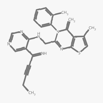 C=C1c2c(C)csc2N=C(CNc2ncncc2C(=N)C#CCC)N1c1ccccc1C